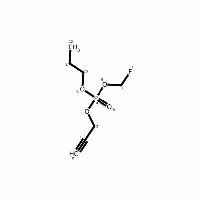 C#CCOP(=O)(OCF)OCCC